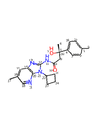 Cc1ccc([C@@](C)(O)CC(=O)Nc2nc3cc(C)cnc3n2C2CCC2)cc1